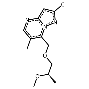 CO[C@H](C)COCc1c(C)cnc2cc(Cl)nn12